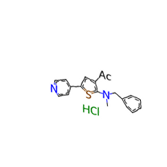 CC(=O)c1cc(-c2ccncc2)sc1N(C)Cc1ccccc1.Cl